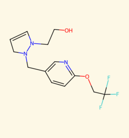 OCCN1C=CCN1Cc1ccc(OCC(F)(F)F)nc1